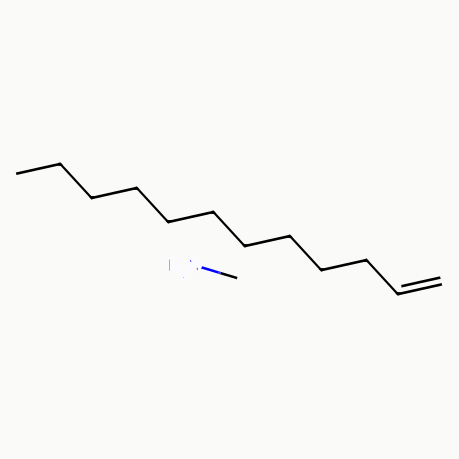 C=CCCCCCCCCCC.CN